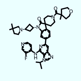 CC(C)n1cnc2cc(-c3ccc4c(c3)N([C@H]3C[C@@H](N5CCC(C)(C)C5)C3)C(=O)C43CCN(C(=O)C4(C)CCOCC4)CC3)nc(Nc3ccncc3F)c21